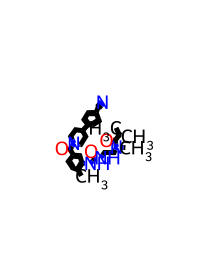 Cc1ccc(C(=O)N2CCC(c3ccc(C#N)cc3)CC2)cc1NC(=O)NCCN(C)C(=O)C(C)C